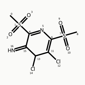 CS(=O)(=O)C1=NC(S(C)(=O)=O)=C(Cl)C(Cl)C1=N